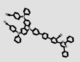 N#Cc1ccc(N(c2ccccc2)c2ccc3c(c2)c2cc(N(c4ccccc4)c4ccc(C#N)cc4)ccc2n3-c2ccc(-c3ccc(-c4ccc(-c5cc(-c6ccccc6)nc(-c6ccccc6)n5)c(C#N)c4)cc3)cc2)cc1